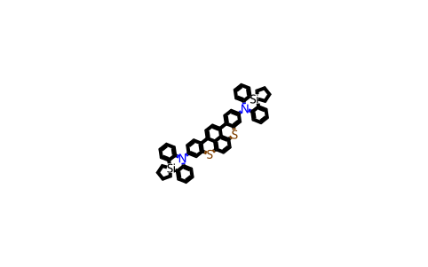 c1ccc2c(c1)N(c1ccc3c(c1)Sc1ccc4c5c(ccc-3c15)-c1ccc(N3c5ccccc5[Si]5(CCCC5)c5ccccc53)cc1S4)c1ccccc1[Si]21CCCC1